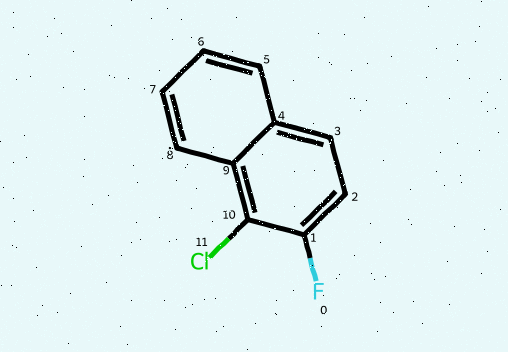 Fc1ccc2ccc[c]c2c1Cl